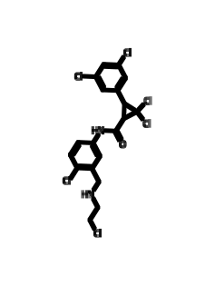 O=C(Nc1ccc(Cl)c(CNCCCl)c1)C1C(c2cc(Cl)cc(Cl)c2)C1(Cl)Cl